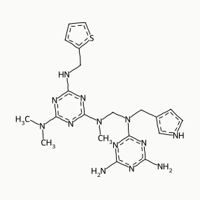 CN(C)c1nc(NCc2cccs2)nc(N(C)CN(Cc2cc[nH]c2)c2nc(N)nc(N)n2)n1